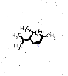 C=C(C)/C=C\C(=C(C)C)N(C)CCCC